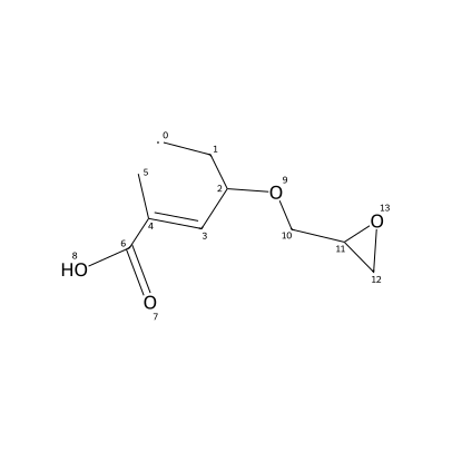 [CH2]CC(C=C(C)C(=O)O)OCC1CO1